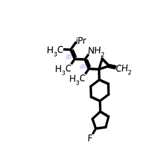 C=C1CC1(/C(C)=C(N)/C(C)=C(/C)C(C)C)C1CCC(C2CCC(F)C2)CC1